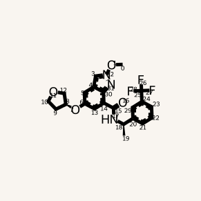 COn1cc2cc(O[C@H]3CCOC3)cc(C(=O)N[C@H](C)c3cccc(C(F)(F)F)c3)c2n1